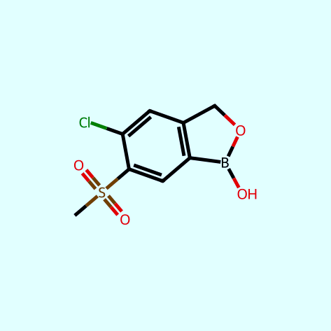 CS(=O)(=O)c1cc2c(cc1Cl)COB2O